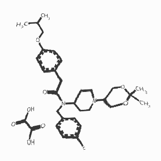 CC(C)COc1ccc(CC(=O)N(Cc2ccc(F)cc2)C2CCN(C3COC(C)(C)OC3)CC2)cc1.O=C(O)C(=O)O